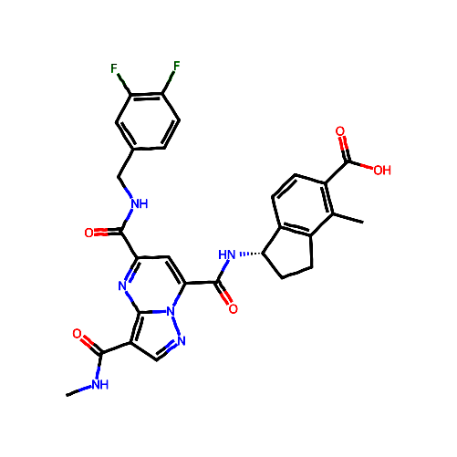 CNC(=O)c1cnn2c(C(=O)N[C@H]3CCc4c3ccc(C(=O)O)c4C)cc(C(=O)NCc3ccc(F)c(F)c3)nc12